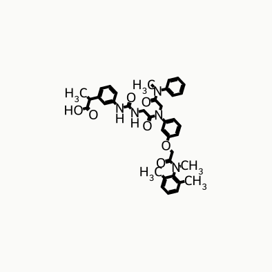 Cc1cccc(C)c1N(C)C(=O)COc1cccc(N(CC(=O)N(C)c2ccccc2)C(=O)CNC(=O)Nc2cccc(C(C)C(=O)O)c2)c1